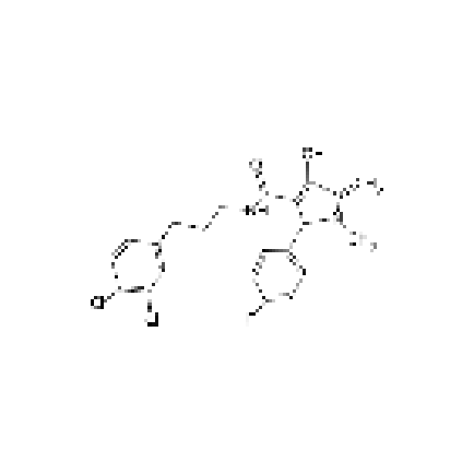 C=C1C(O)=C(C(=O)NCCCc2ccc(Cl)c(Cl)c2)C(c2ccc(F)cc2)N1C